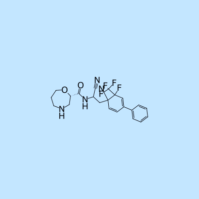 N#CC(CC1(C#N)C=CC(c2ccccc2)=CC1(F)C(F)(F)F)NC(=O)[C@@H]1CNCCCO1